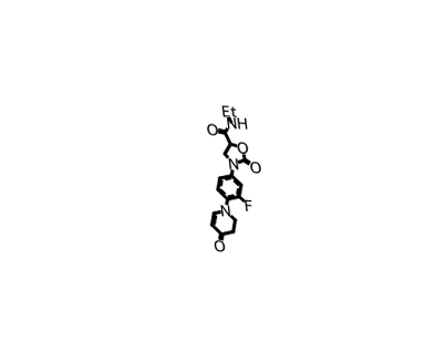 CCNC(=O)C1CN(c2ccc(N3C=CC(=O)CC3)c(F)c2)C(=O)O1